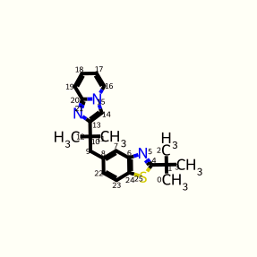 CC(C)(C)c1nc2cc(CC(C)(C)c3cn4ccccc4n3)ccc2s1